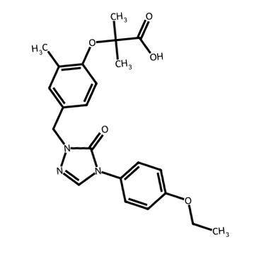 CCOc1ccc(-n2cnn(Cc3ccc(OC(C)(C)C(=O)O)c(C)c3)c2=O)cc1